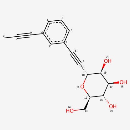 CC#Cc1cccc(C#C[C@H]2O[C@H](CO)[C@@H](O)[C@H](O)[C@@H]2O)c1